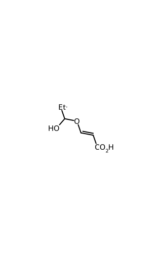 C[CH]C(O)OC=CC(=O)O